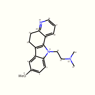 COc1ccc2c(c1)c1c(n2CCN(C)C)-c2cccnc2CC1